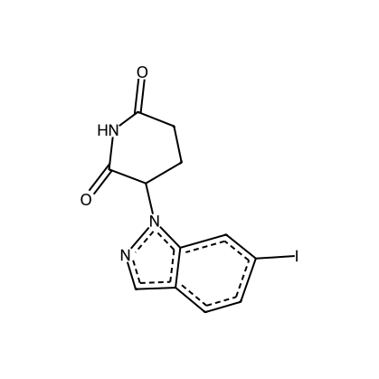 O=C1CCC(n2ncc3ccc(I)cc32)C(=O)N1